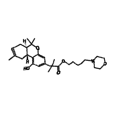 CC1=CC[C@@H]2[C@@H](C1)c1c(O)cc(C(C)(C)C(=O)OCCCCN3CCOCC3)cc1OC2(C)C